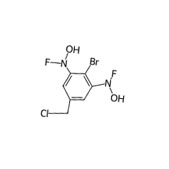 ON(F)c1cc(CCl)cc(N(O)F)c1Br